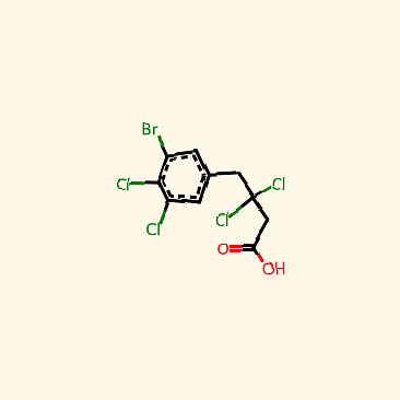 O=C(O)CC(Cl)(Cl)Cc1cc(Cl)c(Cl)c(Br)c1